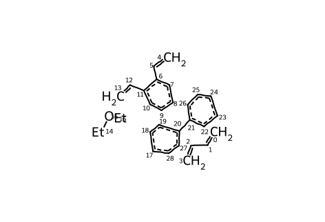 C=CC=C.C=Cc1ccccc1C=C.CCOCC.c1ccc(-c2ccccc2)cc1